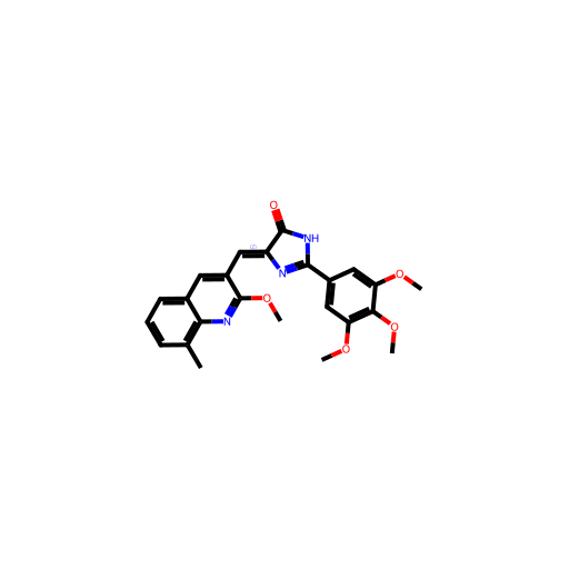 COc1cc(C2=N/C(=C\c3cc4cccc(C)c4nc3OC)C(=O)N2)cc(OC)c1OC